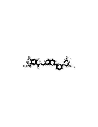 Cc1cc(F)c(C(=O)NCc2cc3nc(-c4cccc(N5C[C@@H](C)O[C@@H](C)C5)n4)ccc3cn2)cc1S(C)(=O)=O